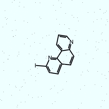 Ic1ccc2ccc3ncccc3c2n1